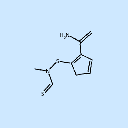 C=C(N)C1=C(SN(C)C=S)CC=C1